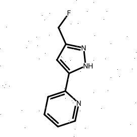 FCc1cc(-c2ccccn2)[nH]n1